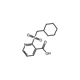 O=C(O)c1cccnc1S(=O)(=O)CC1CCCCC1